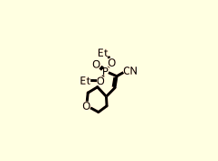 CCOP(=O)(OCC)/C(C#N)=C\C1CCOCC1